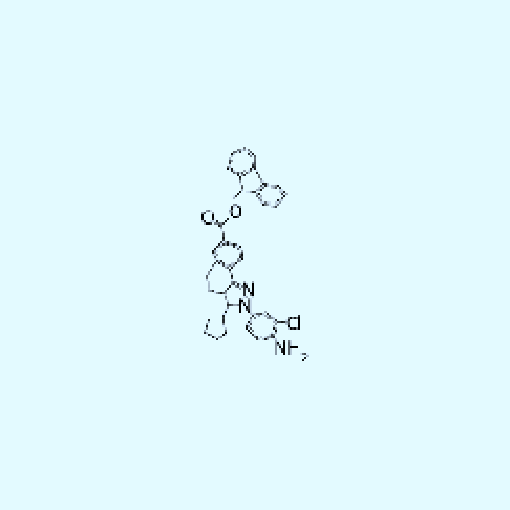 Nc1ccc(N2N=C3c4ccc(C(=O)OCC5c6ccccc6-c6ccccc65)cc4CCC3C2C2CCCC2)cc1Cl